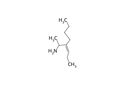 CCC=C(CCCC)C(C)N